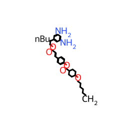 C=CCCCCCOC1CCC(C(=O)Oc2ccc(/C=C/C(=O)OCC(CCCC)c3cc(N)cc(N)c3)cc2)CC1